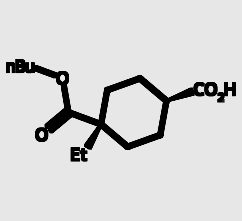 CCCCOC(=O)[C@]1(CC)CC[C@@H](C(=O)O)CC1